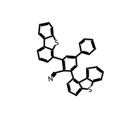 N#Cc1c(-c2cccc3c2sc2ccccc23)cc(-c2ccccc2)cc1-c1cccc2sc3ccccc3c12